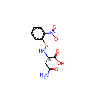 NC(=O)C[C@H](NSc1ccccc1[N+](=O)[O-])C(=O)O